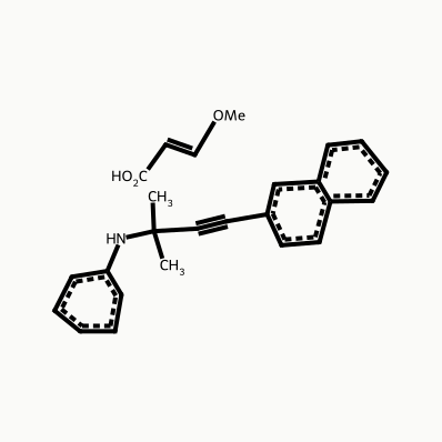 CC(C)(C#Cc1ccc2ccccc2c1)Nc1ccccc1.COC=CC(=O)O